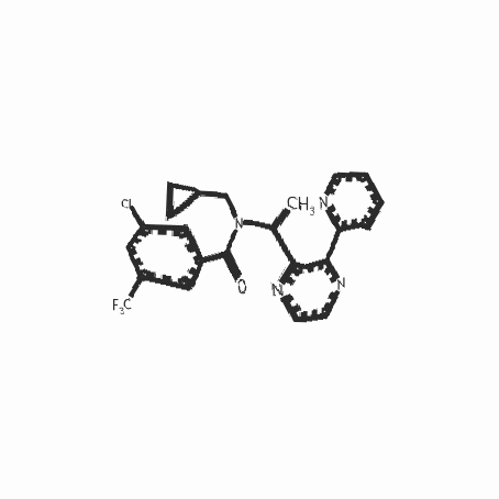 CC(c1nccnc1-c1ccccn1)N(CC1CC1)C(=O)c1cc(Cl)cc(C(F)(F)F)c1